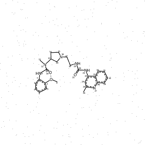 COc1ccccc1NC(=O)N(C)C1CCN(CCNC(=O)Nc2cc(C)nc3ccccc23)C1